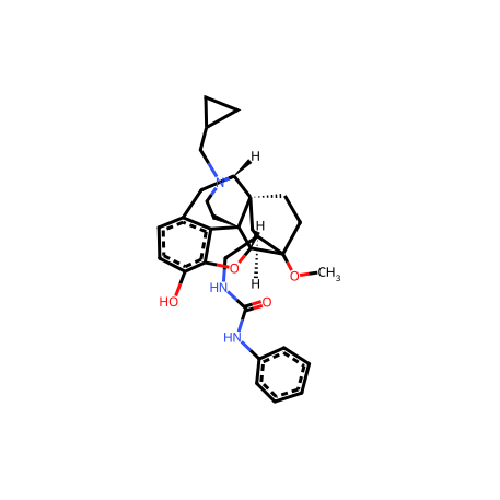 COC12CC[C@@]3(C[C@@H]1CNC(=O)Nc1ccccc1)[C@H]1Cc4ccc(O)c5c4[C@@]3(CCN1CC1CC1)[C@H]2O5